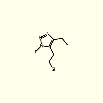 CCc1nnn(I)c1CCS